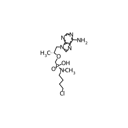 C[C@H](Cn1cnc2c(N)ncnc21)OCP(=O)(O)N(C)CCCCCl